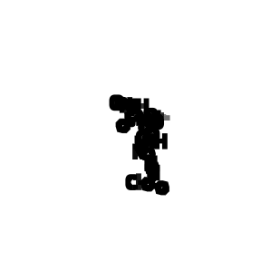 O=[N+]([O-])c1cc(S(=O)(=O)Nc2ncnc3cc(N4CCN(Cc5cc(Cl)ccc5-c5ccccc5)CC4)ccc23)ccc1N[C@H](CCNN1CCOCC1)CSc1ccccc1